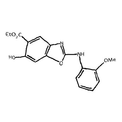 CCOC(=O)c1cc2nc(Nc3ccccc3OC)oc2cc1O